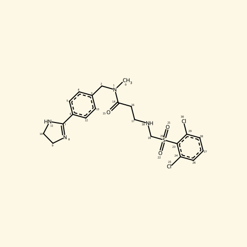 CN(Cc1ccc(C2=NCCN2)cc1)C(=O)CCNCS(=O)(=O)c1c(Cl)cccc1Cl